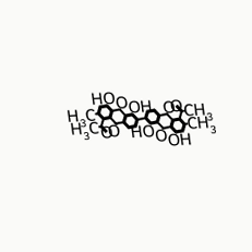 CC(=O)c1c(C)cc(O)c2c1C(=O)c1ccc(-c3ccc4c(c3O)C(=O)c3c(O)cc(C)c(C(C)=O)c3C4=O)c(O)c1C2=O